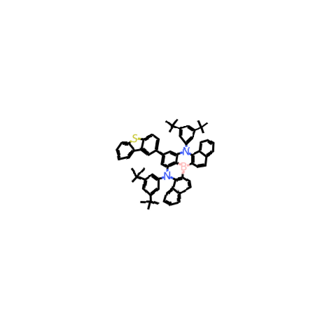 CC(C)(C)c1cc(N2c3cc(-c4ccc5sc6ccccc6c5c4)cc4c3B(c3ccc5ccccc5c32)c2ccc3ccccc3c2N4c2cc(C(C)(C)C)cc(C(C)(C)C)c2)cc(C(C)(C)C)c1